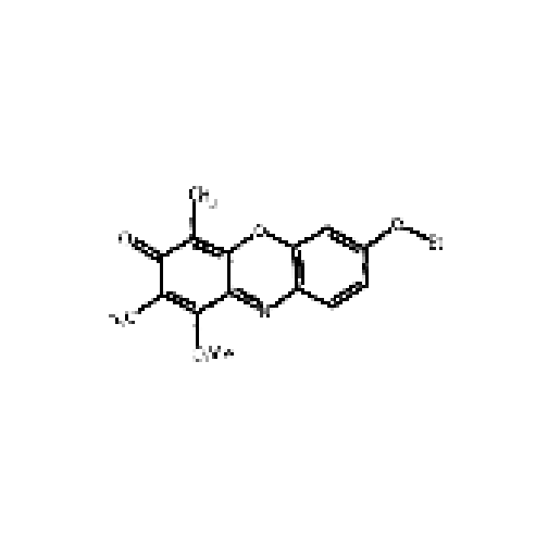 CCOc1ccc2nc3c(OC)c(C)c(=O)c(C)c-3oc2c1